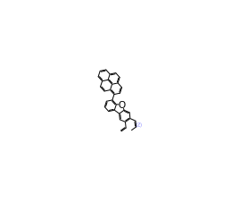 C=Cc1cc2c(cc1/C=C\C)oc1c(-c3ccc4ccc5cccc6ccc3c4c56)cccc12